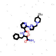 CC(C)(C)C1CCN(Cc2ccn(-c3ncccc3C(=O)NC(Cc3ccccc3)C(=O)C(N)=O)n2)CC1